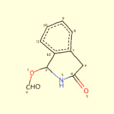 O=COC1NC(=O)Cc2ccccc21